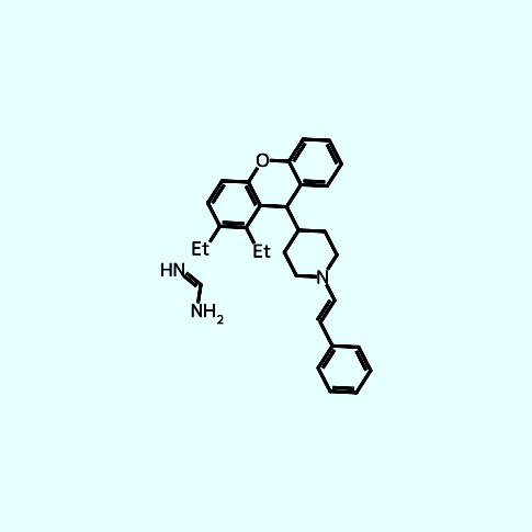 CCc1ccc2c(c1CC)C(C1CCN(C=Cc3ccccc3)CC1)c1ccccc1O2.N=CN